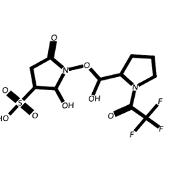 O=C1CC(S(=O)(=O)O)C(O)N1OC(O)C1CCCN1C(=O)C(F)(F)F